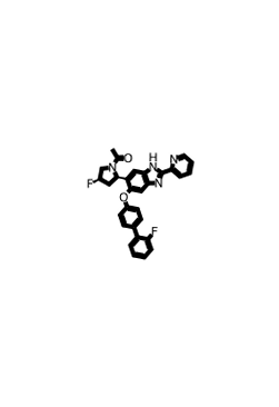 CC(=O)N1C[C@H](F)C[C@@H]1c1cc2[nH]c(-c3ccccn3)nc2cc1Oc1ccc(-c2ccccc2F)cc1